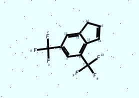 FC(F)(F)c1[c]c(C(F)(F)F)c2c(c1)CC=C2